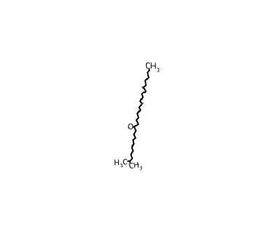 CCCCCCCCCCCCCCCCCCC(=O)CCCCCCCCCC(C)C